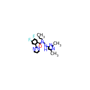 CCCN(CNc1cc(C)nc(C)n1)C(=O)c1cc(F)c(F)cc1-c1ncccn1